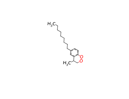 CCCCCCCCCc1ccc2c(c1)C(C)COO2